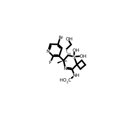 C[C@]1(c2cc(Br)cnc2F)N=C(NC(=O)O)C2(CCC2)S(O)(O)[C@H]1CCO